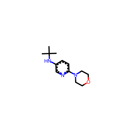 CC(C)(C)Nc1ccc(N2CCOCC2)nc1